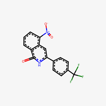 O=c1[nH]c(-c2ccc(C(F)(F)F)cc2)cc2c([N+](=O)[O-])cccc12